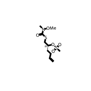 C=CCC[C@H](CSC(=O)N(C)OC)OS(C)(=O)=O